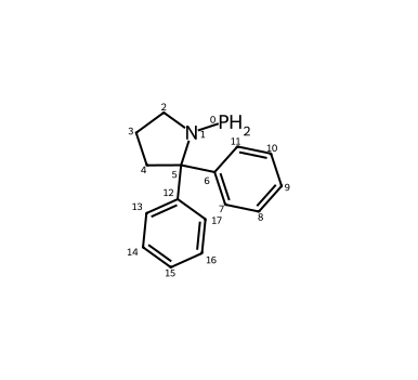 PN1CCCC1(c1ccccc1)c1ccccc1